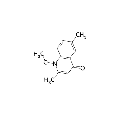 COn1c(C)cc(=O)c2cc(C)ccc21